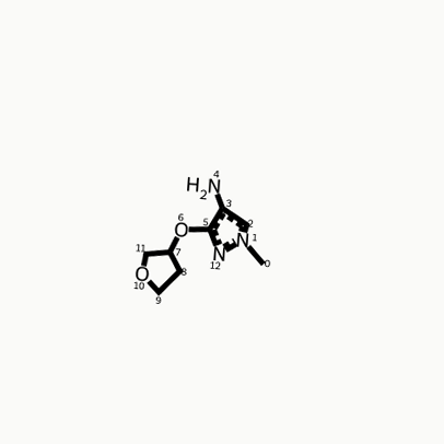 Cn1cc(N)c(OC2CCOC2)n1